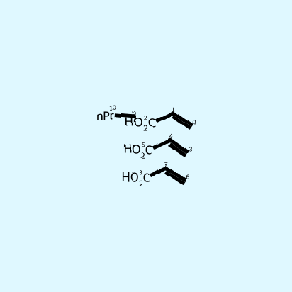 C=CC(=O)O.C=CC(=O)O.C=CC(=O)O.CCCC